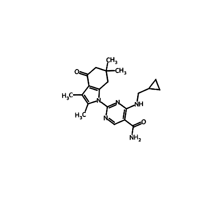 Cc1c2c(n(-c3ncc(C(N)=O)c(NCC4CC4)n3)c1C)CC(C)(C)CC2=O